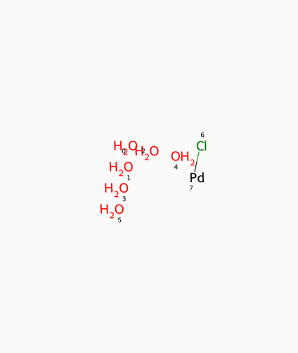 O.O.O.O.O.O.[Cl][Pd]